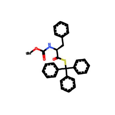 CC(C)(C)OC(=O)N[C@@H](Cc1ccccc1)C(=O)SC(c1ccccc1)(c1ccccc1)c1ccccc1